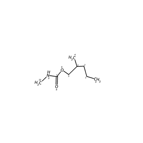 CCCC(C)COC(=O)NC